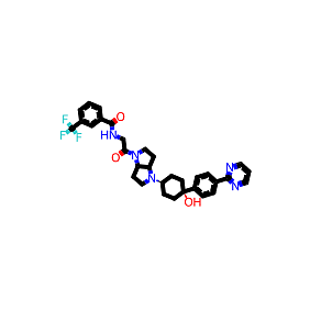 O=C(NCC(=O)N1CCC2C1CCN2[C@H]1CC[C@](O)(c2ccc(-c3ncccn3)cc2)CC1)c1cccc(C(F)(F)F)c1